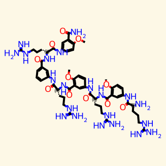 COc1ccc(NC(=O)[C@@H](CCCNC(=N)N)NC(=O)c2cccc(NC(=O)[C@@H](CCCNC(=N)N)NC(=O)c3cc(NC(=O)[C@@H](CCCNC(=N)N)NC(=O)c4cc(NC(=O)[C@H](N)CCCNC(=N)N)ccc4OC)ccc3OC)c2)cc1C(N)=O